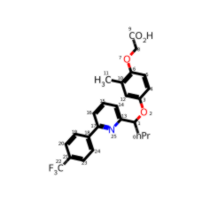 CCCC(Oc1ccc(OCC(=O)O)c(C)c1)c1cccc(-c2ccc(C(F)(F)F)cc2)n1